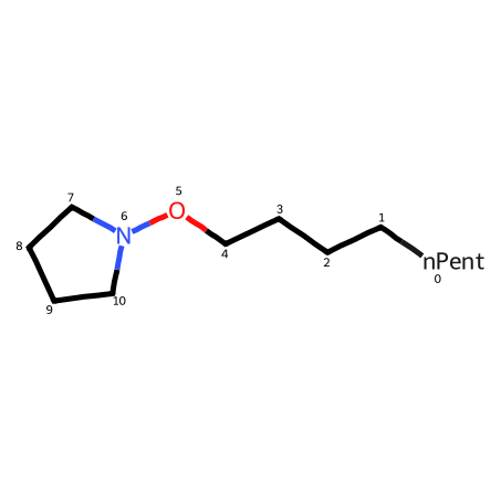 CCCCCCCCCON1CCCC1